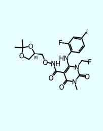 Cn1c(=O)c(C(=O)NOC[C@H]2COC(C)(C)O2)c(Nc2ccc(I)cc2F)n(CF)c1=O